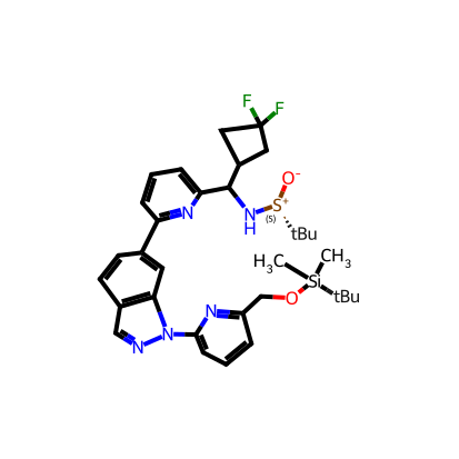 CC(C)(C)[S@@+]([O-])NC(c1cccc(-c2ccc3cnn(-c4cccc(CO[Si](C)(C)C(C)(C)C)n4)c3c2)n1)C1CC(F)(F)C1